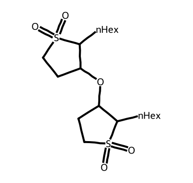 CCCCCCC1C(OC2CCS(=O)(=O)C2CCCCCC)CCS1(=O)=O